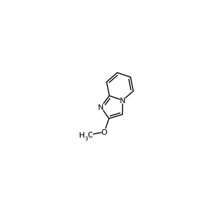 COc1cn2ccccc2n1